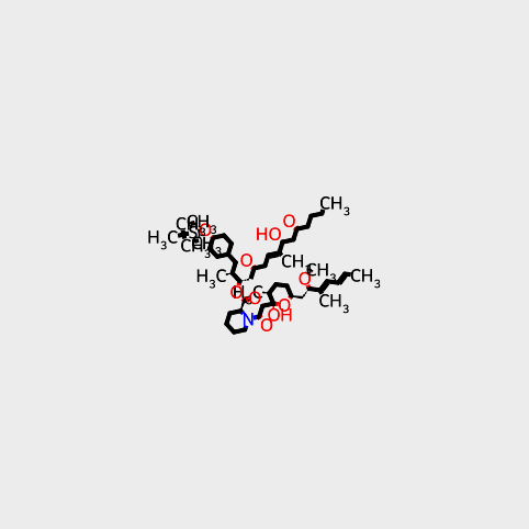 C/C=C/C=C(\C)[C@H](C[C@@H]1CC[C@@H](C)[C@](O)(CC(=O)N2CCCC[C@H]2C(=O)O[C@@H](CC(=O)C/C=C(\C)[C@@H](O)CC(=O)CCCC)[C@H](C)CC2CCC(O[Si](C)(C)C(C)(C)C)CC2)O1)OC